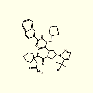 CC(C)(O)c1cnnn1[C@H]1C[C@@H](C(=O)NC2(CC(N)=O)CCCCC2)N(C(=O)[C@@H](CC2CCCCC2)NC(=O)c2ccc3ccccc3c2)C1